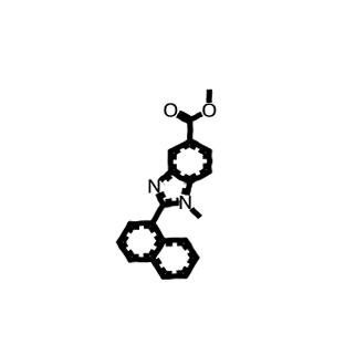 COC(=O)c1ccc2c(c1)nc(-c1cccc3ccccc13)n2C